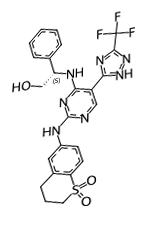 O=S1(=O)CCCc2cc(Nc3ncc(-c4nc(C(F)(F)F)n[nH]4)c(N[C@H](CO)c4ccccc4)n3)ccc21